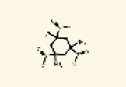 NC1([N+](=O)[O-])CC(N)([N+](=O)[O-])CC(N)([N+](=O)[O-])C1